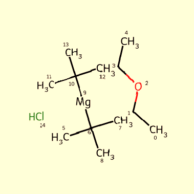 CCOCC.C[C](C)(C)[Mg][C](C)(C)C.Cl